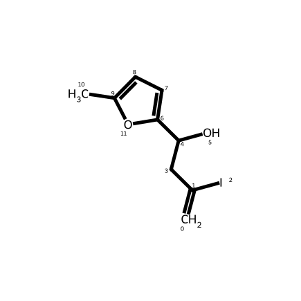 C=C(I)CC(O)c1ccc(C)o1